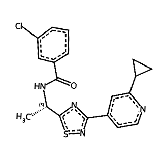 C[C@H](NC(=O)c1cccc(Cl)c1)c1nc(-c2ccnc(C3CC3)c2)ns1